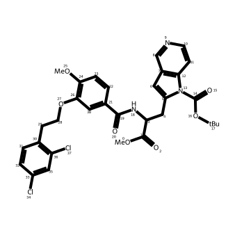 COC(=O)C(Cc1cc2cnccc2n1C(=O)OC(C)(C)C)NC(=O)c1ccc(OC)c(OCCc2ccc(Cl)cc2Cl)c1